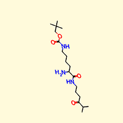 CC(C)C(=O)CCCNC(=O)C(N)CCCCNC(=O)OCC(C)(C)C